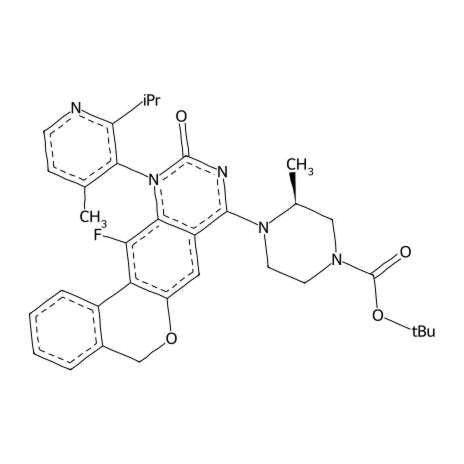 Cc1ccnc(C(C)C)c1-n1c(=O)nc(N2CCN(C(=O)OC(C)(C)C)C[C@@H]2C)c2cc3c(c(F)c21)-c1ccccc1CO3